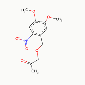 COc1cc(COCC(C)=O)c([N+](=O)[O-])cc1OC